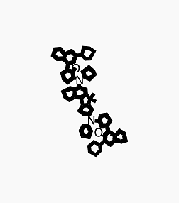 CC1(C)c2cc(N(c3ccccc3)c3cccc4c3oc3c(C5CCCCC5)cc5ccccc5c34)ccc2-c2c1cc(N(c1ccccc1)c1cccc3c1oc1c(C4CCCCC4)cc4ccccc4c13)c1ccccc21